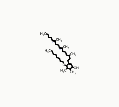 CCCC/C=C(\C)CC/C=C(\C)CCCC(C)CCC1=CC(O)C(C)C(C)C1OCCCCCCCC